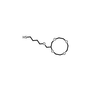 SCCCCOCC1COCCOCCOCCO1